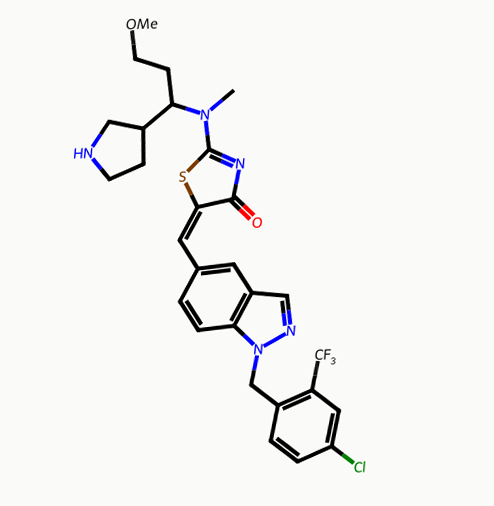 COCCC(C1CCNC1)N(C)C1=NC(=O)C(=Cc2ccc3c(cnn3Cc3ccc(Cl)cc3C(F)(F)F)c2)S1